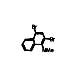 CNc1c(Br)cc(Br)c2ccccc12